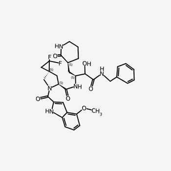 COc1cccc2[nH]c(C(=O)N3C[C@]4(C[C@H]3C(=O)N[C@@H](C[C@@H]3CCCNC3=O)C(O)C(=O)NCc3ccccc3)CC4(F)F)cc12